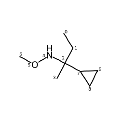 CCC(C)(NOC)C1CC1